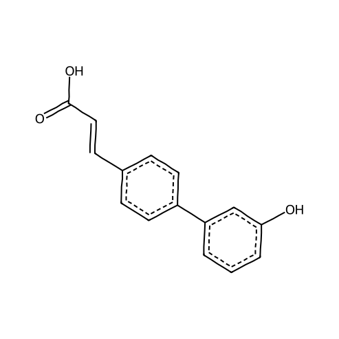 O=C(O)C=Cc1ccc(-c2cccc(O)c2)cc1